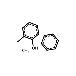 C.Cc1ccccc1O.c1ccccc1